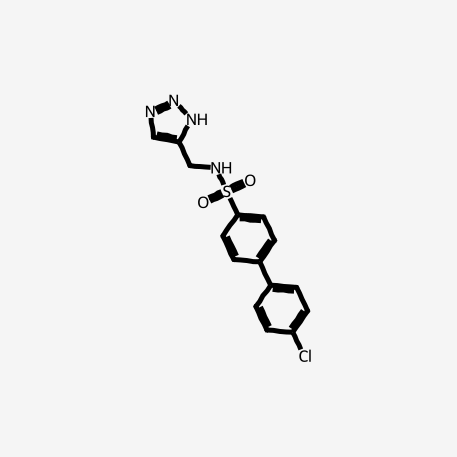 O=S(=O)(NCc1cnn[nH]1)c1ccc(-c2ccc(Cl)cc2)cc1